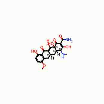 CN[C@@H]1C(O)=C(C(N)=O)C(=O)[C@@]2(O)C(O)=C3C(=O)c4c(O)ccc(OC)c4C[C@H]3C[C@@H]12